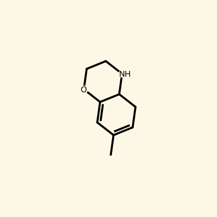 CC1=CCC2NCCOC2=C1